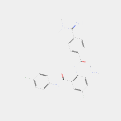 CN(C)C(=N)c1ccc(C(=O)Nc2c(C(=O)Nc3ccc(Cl)cc3)cc(Cl)cc2N(C)C)cc1